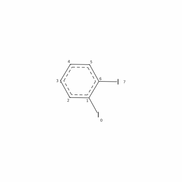 Ic1c[c]ccc1I